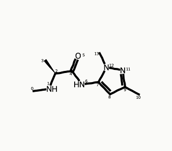 CN[C@@H](C)C(=O)Nc1cc(C)nn1C